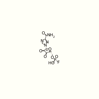 NC(=O)c1ncn([C@@H]2O[C@H](COP(=O)(O)F)C(=O)C2=O)n1